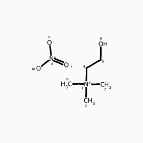 C[N+](C)(C)CCO.O=[N+]([O-])[O-]